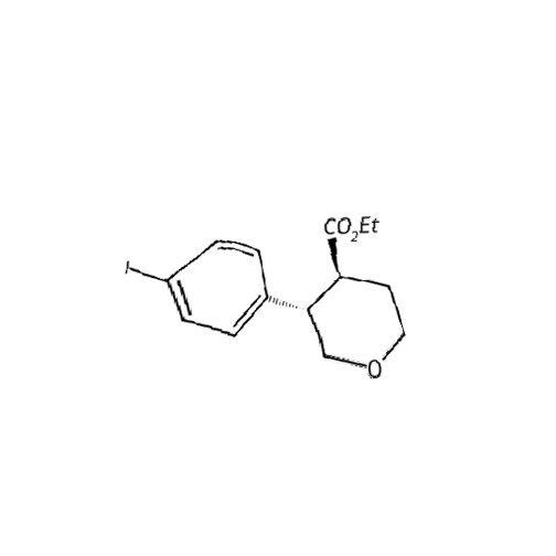 CCOC(=O)[C@H]1CCOC[C@@H]1c1ccc(I)cc1